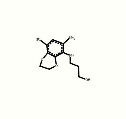 N#Cc1cc(N)c(NCCCO)c2c1OCCO2